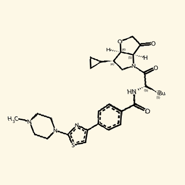 CC[C@H](C)[C@H](NC(=O)c1ccc(-c2csc(N3CCN(C)CC3)n2)cc1)C(=O)N1C[C@@H](C2CC2)[C@H]2OCC(=O)[C@H]21